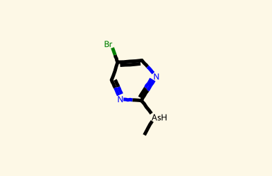 C[AsH]c1ncc(Br)cn1